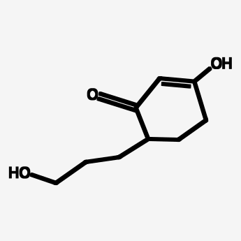 O=C1C=C(O)CCC1CCCO